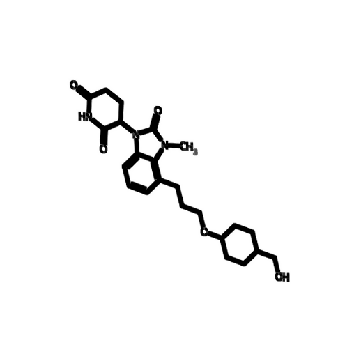 Cn1c(=O)n(C2CCC(=O)NC2=O)c2cccc(CCCOC3CCC(CO)CC3)c21